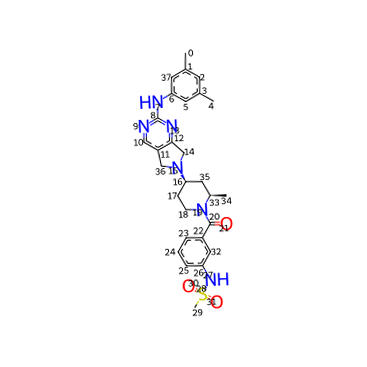 Cc1cc(C)cc(Nc2ncc3c(n2)CN([C@@H]2CCN(C(=O)c4cccc(NS(C)(=O)=O)c4)[C@H](C)C2)C3)c1